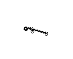 O=[C]CCCCCCCCC(=O)OCCc1ccccc1